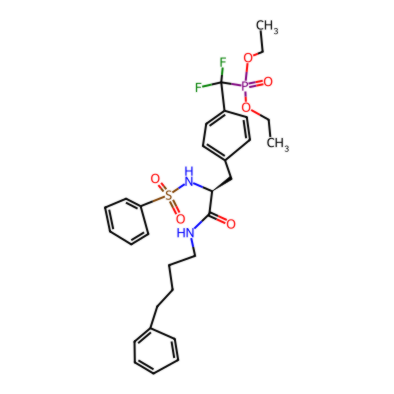 CCOP(=O)(OCC)C(F)(F)c1ccc(C[C@H](NS(=O)(=O)c2ccccc2)C(=O)NCCCCc2ccccc2)cc1